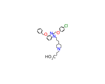 O=C(O)CCCN1CCC(CCCn2c(COc3ccc(Cl)cc3)nc3c(OCc4ccccc4)cccc32)CC1